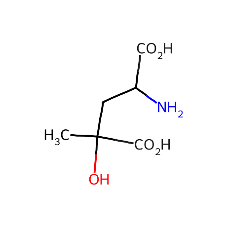 CC(O)(CC(N)C(=O)O)C(=O)O